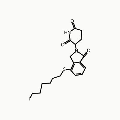 O=C1CCC(N2Cc3c(SCCCCCCI)cccc3C2=O)C(=O)N1